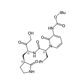 CC(C)C[C@@H](C(=O)N[C@@H](C[C@@H]1CCNC1=O)C(=O)CO)n1cccc(NC(=O)OC(C)(C)C)c1=O